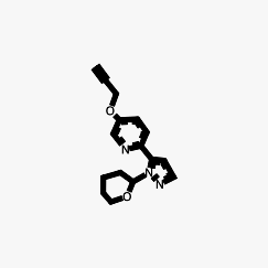 C#CCOc1ccc(-c2ccnn2C2CCCCO2)nc1